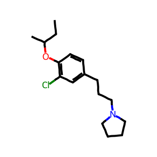 CCC(C)Oc1ccc(CCCN2CCCC2)cc1Cl